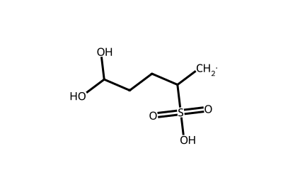 [CH2]C(CCC(O)O)S(=O)(=O)O